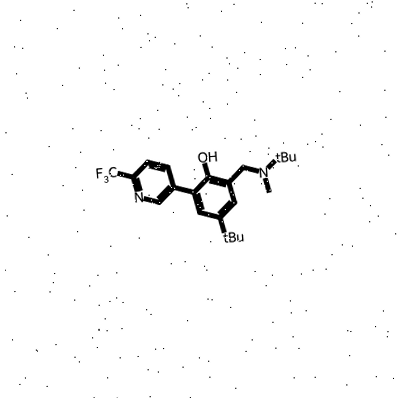 CN(Cc1cc(C(C)(C)C)cc(-c2ccc(C(F)(F)F)nc2)c1O)C(C)(C)C